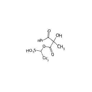 CCCC(=O)C(C)(O)C(=O)OC(C)S(=O)(=O)O